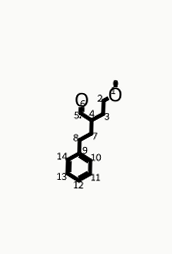 COCCC([C]=O)CCc1ccccc1